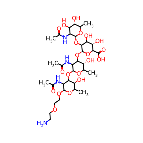 CC(=O)NC1C(O)[C@H](O)C(C)O[C@H]1OC1C(O)[C@H](O)C(C(=O)O)O[C@H]1OC1C(NC(C)=O)[C@H](OC2C(NC(C)=O)[C@H](OCCOCCN)OC(C)[C@@H]2O)OC(C)[C@H]1O